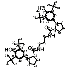 CC(C)(C)c1cc(N2CCC[C@H]2C(=O)NCCCNC(=O)[C@@H]2CCCN2c2cc(C(C)(C)C)c(O)c(C(C)(C)C)c2)cc(C(C)(C)C)c1O